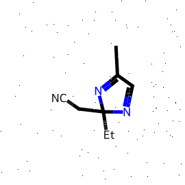 CCC1(CC#N)N=CC(C)=N1